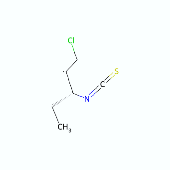 CC[C@H]([CH]CCl)N=C=S